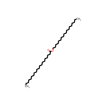 CCCCCCCCCCCCCCCCCCCC(=O)OCCCCCCCCCCCCCCCCCC